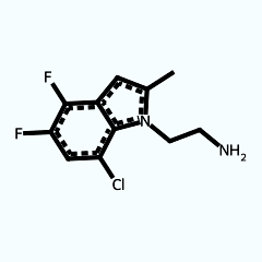 Cc1cc2c(F)c(F)cc(Cl)c2n1CCN